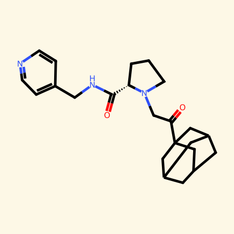 O=C(NCc1ccncc1)[C@@H]1CCCN1CC(=O)C12CC3CC(CC(C3)C1)C2